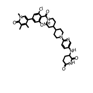 COc1cc(-c2cn(C)c(=O)c(C)c2C)cc(Cl)c1C(=O)N1CCC(C2CCN(c3ccc(NC4CCC(=O)NC4=O)cn3)CC2)CC1